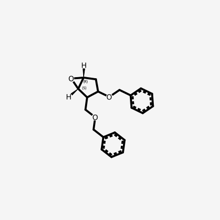 c1ccc(COCC2C(OCc3ccccc3)C[C@H]3O[C@@H]23)cc1